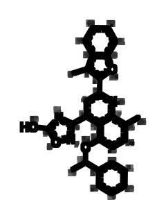 Cc1c(-c2cc(-c3noc(O)n3)c3c(OC(C)c4ccccc4)ccc(C)c3n2)oc2ccccc12